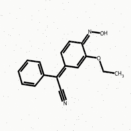 CCOC1=CC(=C(C#N)c2ccccc2)C=CC1=NO